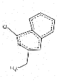 CCc1cc2ccccc2c(Cl)n1